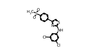 CS(=O)(=O)c1ccc(-c2csc(Nc3cc(Cl)cc(Cl)c3)n2)cc1